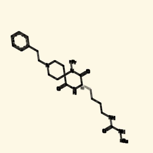 CCCCNC(=O)NCCCC[C@@H]1NC(=O)C2(CCN(CCc3ccccc3)CC2)N(CCC)C1=O